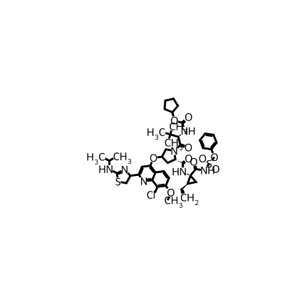 C=C[C@@H]1C[C@]1(NC(=O)[C@@H]1CC(Oc2cc(C3CSC(NC(C)C)=N3)nc3c(Cl)c(OC)ccc23)CN1C(=O)[C@@H](NC(=O)OC1CCCC1)C(C)(C)C)C(=O)NS(=O)(=O)Oc1ccccc1